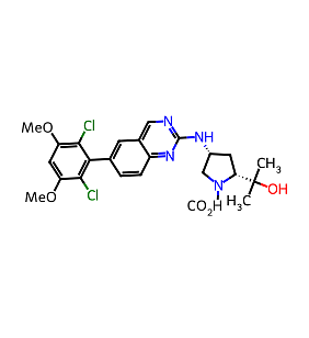 COc1cc(OC)c(Cl)c(-c2ccc3nc(N[C@@H]4C[C@H](C(C)(C)O)N(C(=O)O)C4)ncc3c2)c1Cl